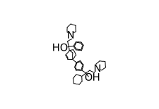 OC(CCN1CCCCC1)(c1ccc(C23C=CC(C(O)(CCN4CCCCC4)c4ccccc4)(CC2)C3)cc1)C1CCCCC1